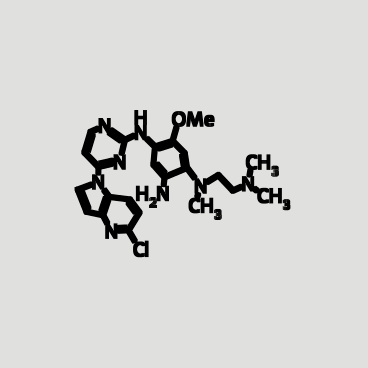 COc1cc(N(C)CCN(C)C)c(N)cc1Nc1nccc(-n2ccc3nc(Cl)ccc32)n1